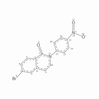 O=c1c2ccc(Br)cc2ccn1-c1ccc([N+](=O)[O-])cc1